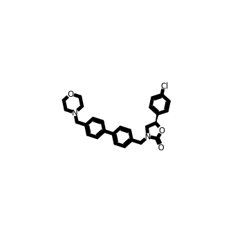 O=C1O[C@H](c2ccc(Cl)cc2)CN1Cc1ccc(-c2ccc(CN3CCOCC3)cc2)cc1